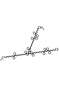 CCCCCCCCC(=O)C(=O)CCCCCCCC(=O)OC(COC(=O)CCCCCCCC(=O)C(=O)CC(=O)C(=O)CCCCC)COC(=O)CCCCCCCC(=O)C(=O)CC(=O)C(=O)CCCCC